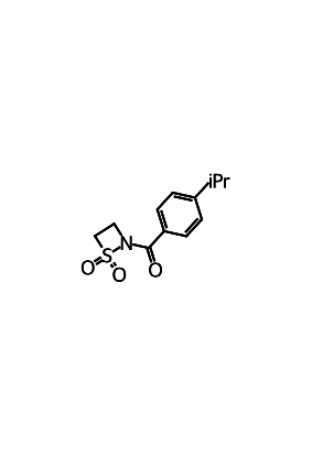 CC(C)c1ccc(C(=O)N2CCS2(=O)=O)cc1